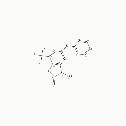 CC(C)(C)c1cc(Sc2ccccc2)cc2c1OC(=O)C2O